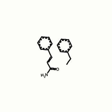 CCc1ccccc1.NC(=O)C=Cc1ccccc1